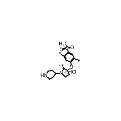 CS(=O)(=O)c1cc(F)c(O[C@H]2CCN(C3CCNCC3)C2=O)cc1F.Cl